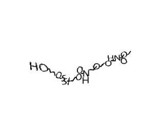 CCOC(=O)NCCOCCOCCNC(=O)OCCC(C)(C)SSCOCCCCO